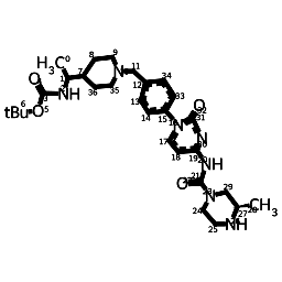 CC(NC(=O)OC(C)(C)C)C1CCN(Cc2ccc(-n3ccc(NC(=O)N4CCN[C@H](C)C4)nc3=O)cc2)CC1